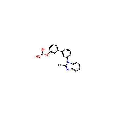 CCc1nc2ccccc2n1-c1cccc(-c2cccc(OB(O)O)c2)c1